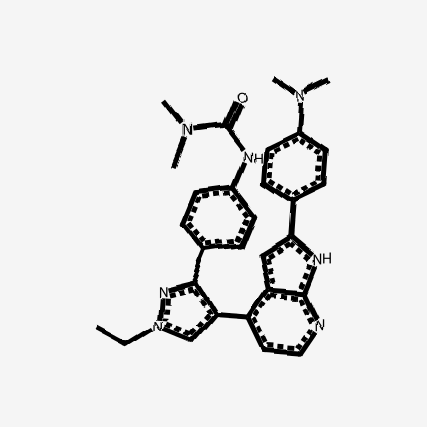 CCn1cc(-c2ccnc3[nH]c(-c4ccc(N(C)C)cc4)cc23)c(-c2ccc(NC(=O)N(C)C)cc2)n1